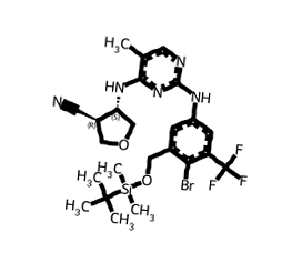 Cc1cnc(Nc2cc(CO[Si](C)(C)C(C)(C)C)c(Br)c(C(F)(F)F)c2)nc1N[C@@H]1COC[C@H]1C#N